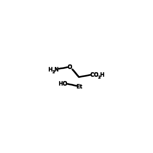 CCO.NOCC(=O)O